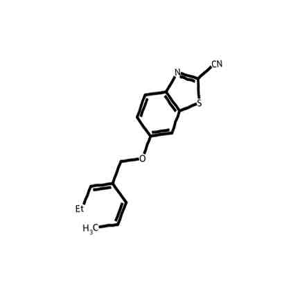 C/C=C\C(=C/CC)COc1ccc2nc(C#N)sc2c1